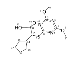 COc1nc(OC)nc(SC(C(=O)O)C2CCCC2)n1